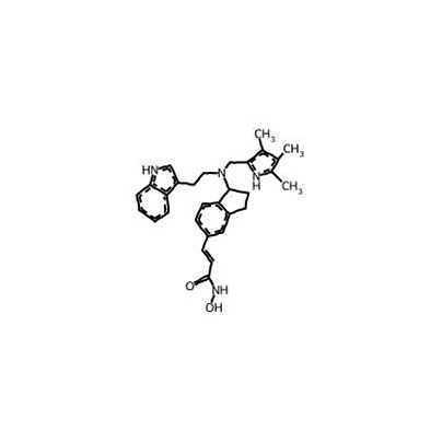 Cc1[nH]c(CN(CCc2c[nH]c3ccccc23)C2CCc3cc(C=CC(=O)NO)ccc32)c(C)c1C